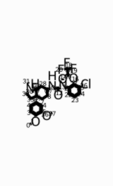 COc1ccc([C@@]23CC[C@@H](NC(=O)N(OC(=O)C(F)(F)F)c4cccc(Cl)c4)C[C@@H]2N(C)CC3)cc1OC